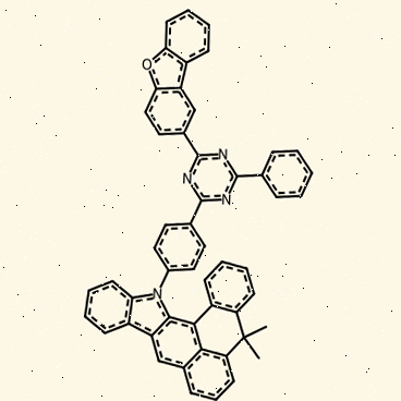 CC1(C)c2ccccc2-c2c3c1cccc3cc1c3ccccc3n(-c3ccc(-c4nc(-c5ccccc5)nc(-c5ccc6oc7ccccc7c6c5)n4)cc3)c21